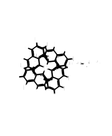 CCCC[NH2+]CCCC.Fc1c(F)c(F)c2c([B-](c3c(F)c(F)c(F)c4c(F)c(F)c(F)c(F)c34)(c3c(F)c(F)c(F)c4c(F)c(F)c(F)c(F)c34)c3c(F)c(F)c(F)c4c(F)c(F)c(F)c(F)c34)c(F)c(F)c(F)c2c1F